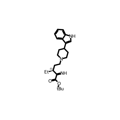 CC[C@@H](CCN1CCC(c2c[nH]c3ccccc23)CC1)C(=N)C(=O)OC(C)(C)C